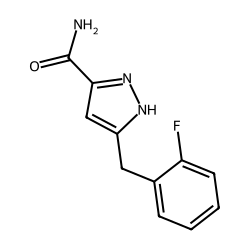 NC(=O)c1cc(Cc2ccccc2F)[nH]n1